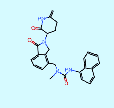 C=C1CCC(N2Cc3c(CN(C)C(=O)Nc4cccc5ccccc45)cccc3C2=O)C(=O)N1